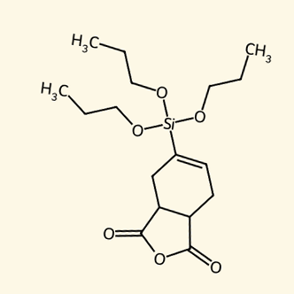 CCCO[Si](OCCC)(OCCC)C1=CCC2C(=O)OC(=O)C2C1